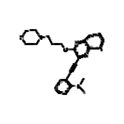 CN(C)c1ccccc1C#Cc1nc2ncccc2nc1OCCCN1CCOCC1